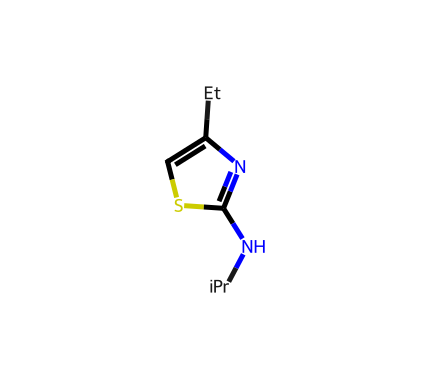 [CH2]Cc1csc(NC(C)C)n1